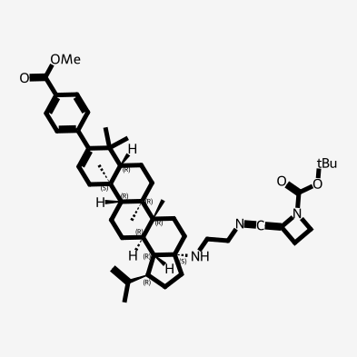 C=C(C)[C@@H]1CC[C@]2(NCCN=C=C3CCN3C(=O)OC(C)(C)C)CC[C@]3(C)[C@H](CC[C@@H]4[C@@]5(C)CC=C(c6ccc(C(=O)OC)cc6)C(C)(C)[C@@H]5CC[C@]43C)[C@@H]12